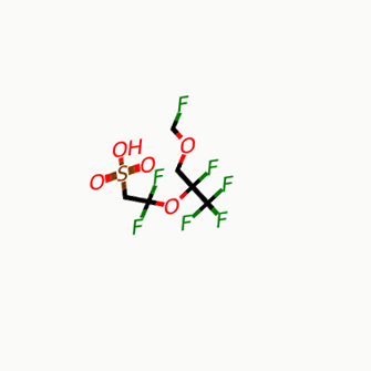 O=S(=O)(O)CC(F)(F)OC(F)(COCF)C(F)(F)F